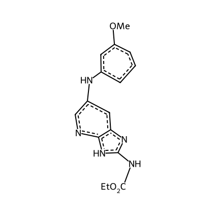 CCOC(=O)Nc1nc2cc(Nc3cccc(OC)c3)cnc2[nH]1